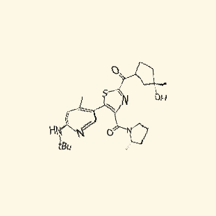 Cc1cc(NC(C)(C)C)ncc1-c1sc(C(=O)C2CC[C@](C)(O)C2)nc1C(=O)N1CCC[C@@H]1C